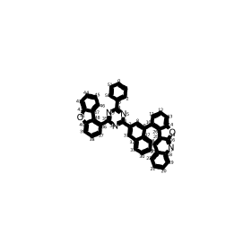 c1ccc(-c2nc(-c3cc(-c4cccc5oc6nc7ccccc7cc6c45)c4ccccc4c3)nc(-c3cccc4oc5ccccc5c34)n2)cc1